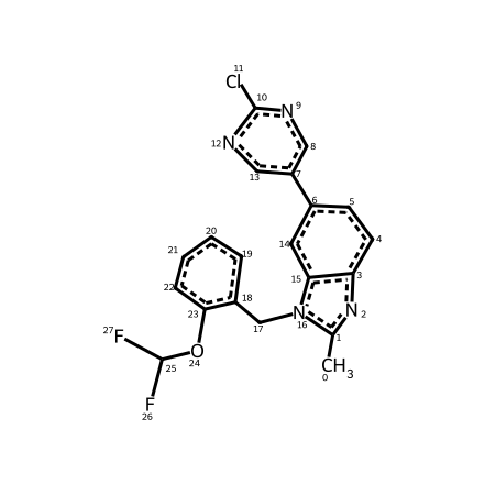 Cc1nc2ccc(-c3cnc(Cl)nc3)cc2n1Cc1ccccc1OC(F)F